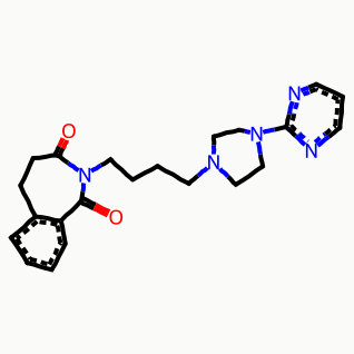 O=C1CCc2ccccc2C(=O)N1CCCCN1CCN(c2ncccn2)CC1